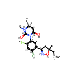 CC(=O)OCC1(C)CC(c2cc(-n3c(=O)cc(C(F)(F)F)n(C)c3=O)c(F)cc2Cl)=NO1